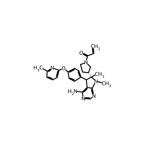 C=CC(=O)N1CC[C@@H](C2(C)C(c3ccc(Oc4cccc(C)n4)cc3)c3c(N)ncnc3N2C)C1